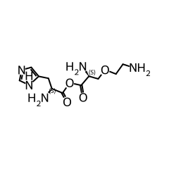 NCCOC[C@H](N)C(=O)OC(=O)[C@@H](N)Cc1cnc[nH]1